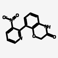 O=C1COc2c(cccc2-c2ncccc2[N+](=O)[O-])N1